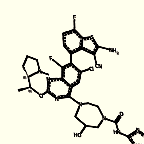 C[C@H](Oc1nc(N2CCN(C(=O)Nc3nccs3)CC(O)C2)c2cc(Cl)c(-c3ccc(F)c4sc(N)c(C#N)c34)c(F)c2n1)[C@@H]1CCCN1C